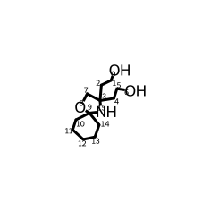 OCCC1(CCO)COC2(CCCCC2)N1